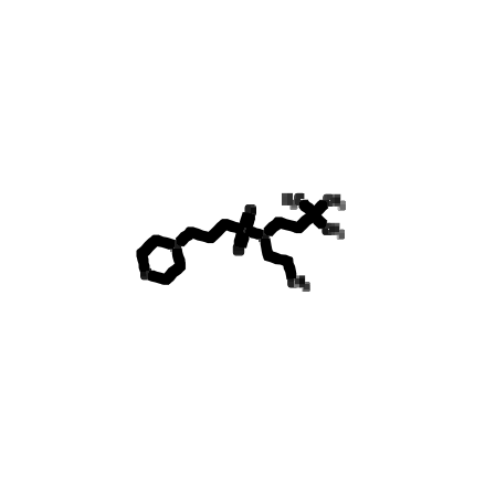 CCCN(CCC(C)(C)C)S(=O)(=O)CCCN1CCOCC1